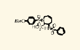 COc1ccc(S(=O)(=O)N2CC=CCC(NS(=O)(=O)c3ccccc3)C2C(=O)O)cc1